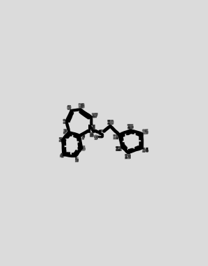 C1=Cc2ccccc2N(SCc2ccccc2)C=C1